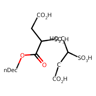 CCCCCCCCCCOC(=O)C(CC(=O)O)S(=O)(=O)O.O=C(O)CC(C(=O)O)S(=O)(=O)O